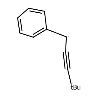 CC(C)(C)C#C[CH]c1ccccc1